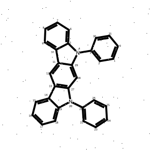 c1ccc(-n2c3ccccc3c3cc4c5ccccc5n(-c5ccccc5)c4cc32)cc1